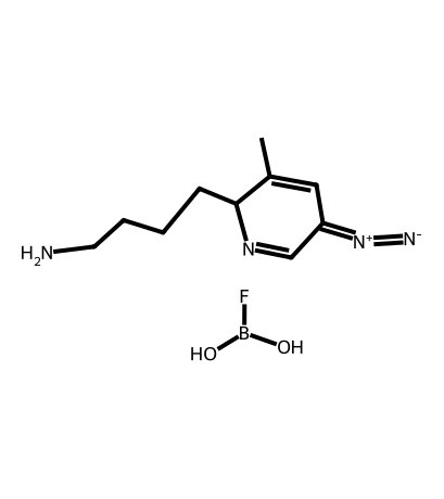 CC1=CC(=[N+]=[N-])C=NC1CCCCN.OB(O)F